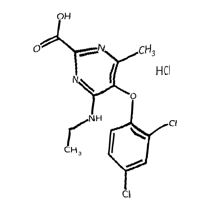 CCNc1nc(C(=O)O)nc(C)c1Oc1ccc(Cl)cc1Cl.Cl